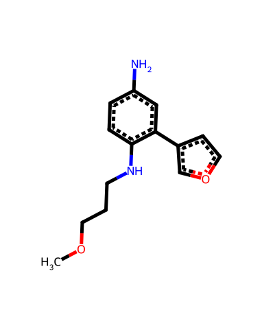 COCCCNc1ccc(N)cc1-c1ccoc1